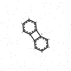 [c]1[c]c2c(cc1)-c1ccccc1-2